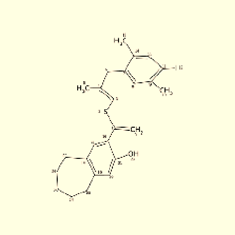 C=C(S/C=C(\C)Cc1cc(C)c(I)cc1C)c1cc2c(cc1O)CCCCC2